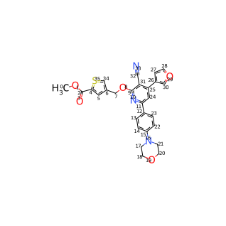 COC(=O)c1cc(COc2nc(-c3ccc(N4CCOCC4)cc3)cc(-c3ccoc3)c2C#N)cs1